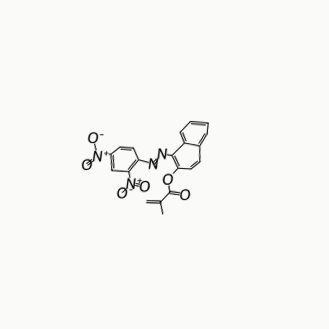 C=C(C)C(=O)Oc1ccc2ccccc2c1N=Nc1ccc([N+](=O)[O-])cc1[N+](=O)[O-]